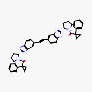 O=C(N1CCC[C@H]1c1nc2cc(C#Cc3ccc4[nH]c([C@@H]5CCCN5C(=O)C5(c6ccccc6)CC5)nc4c3)ccc2[nH]1)C1(c2ccccc2)CC1